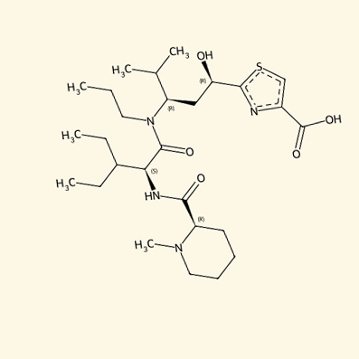 CCCN(C(=O)[C@@H](NC(=O)[C@H]1CCCCN1C)C(CC)CC)[C@H](C[C@@H](O)c1nc(C(=O)O)cs1)C(C)C